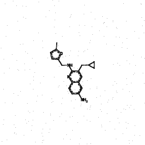 Cc1ccc(CNc2nc3ccc(N)cc3cc2CC2CC2)o1